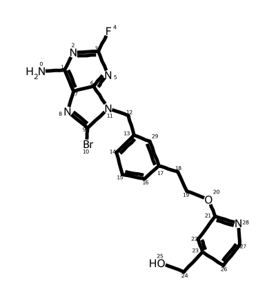 Nc1nc(F)nc2c1nc(Br)n2Cc1cccc(CCOc2cc(CO)ccn2)c1